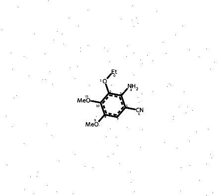 CCOc1c(N)c(C#N)cc(OC)c1OC